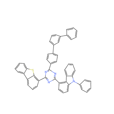 c1ccc(-c2cccc(-c3ccc(-c4nc(-c5cccc6c5sc5ccccc56)nc(-c5cccc6c5c5ccccc5n6-c5ccccc5)n4)cc3)c2)cc1